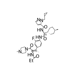 CCC(=O)N[C@@H](C(=O)N1CCN(C)CC1)[C@@H](C)c1ccc(NC(=O)[C@@H](NC(=O)c2ccnn2CC2CC2)[C@H]2CC[C@H](C)CC2)c(F)c1